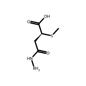 BNC(=O)C[C@H](SC)C(=O)O